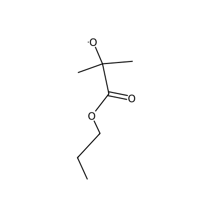 CCCOC(=O)C(C)(C)[O]